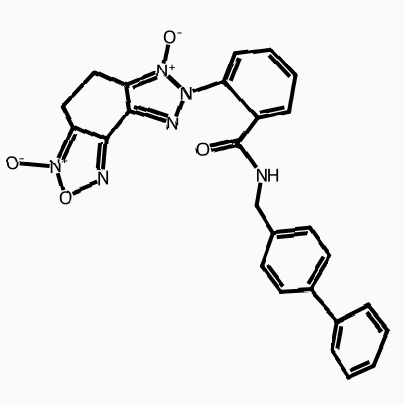 O=C(NCc1ccc(-c2ccccc2)cc1)c1ccccc1-n1nc2c([n+]1[O-])CCc1c-2no[n+]1[O-]